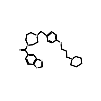 O=C(c1ccc2c(c1)OCO2)N1CCCN(Cc2ccc(OCCCN3CCCCC3)cc2)CC1